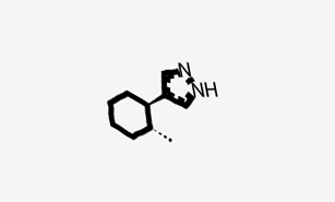 C[C@@H]1CCCC[C@H]1c1cn[nH]c1